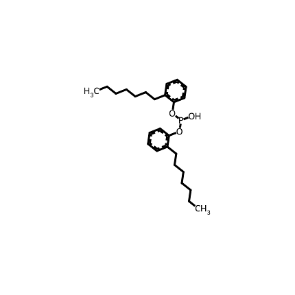 CCCCCCCc1ccccc1OP(O)Oc1ccccc1CCCCCCC